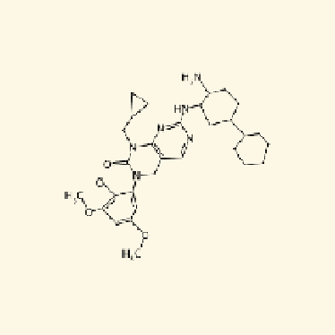 COc1cc(OC)c(Cl)c(N2Cc3cnc(NC4CC(C5CCCCC5)CCC4N)nc3N(CC3CC3)C2=O)c1